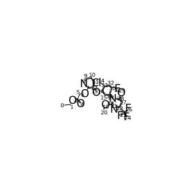 CCOC(=O)COc1ncccc1Oc1cc(-n2c(OC)nc(C(F)(F)F)cc2=O)c(F)cc1Cl